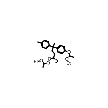 CCOC(C)OOC(=O)CCC(C)(c1ccc(C)cc1)c1ccc(OC(C)OCC)cc1